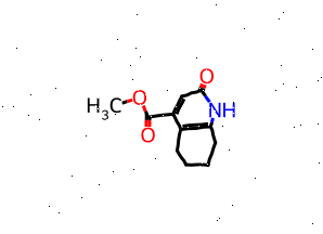 COC(=O)c1cc(=O)[nH]c2c1CCCC2